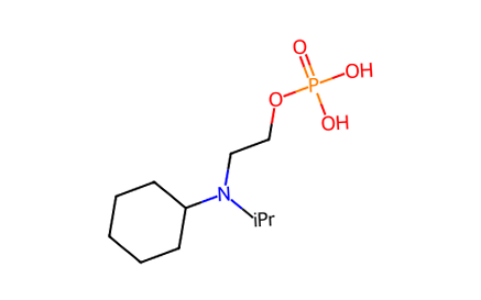 CC(C)N(CCOP(=O)(O)O)C1CCCCC1